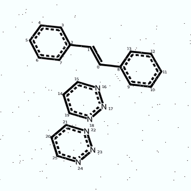 C(=C\c1ccccc1)/c1ccccc1.c1cnnnc1.c1cnnnc1